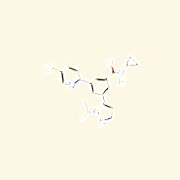 CC(C)n1nccc1-c1cc(C(=O)NC2CC2)cc(-c2ccc(Cl)cn2)c1